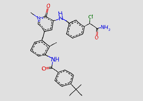 Cc1c(NC(=O)c2ccc(C(C)(C)C)cc2)cccc1-c1cc(Nc2cccc(C(Cl)C(N)=O)c2)c(=O)n(C)c1